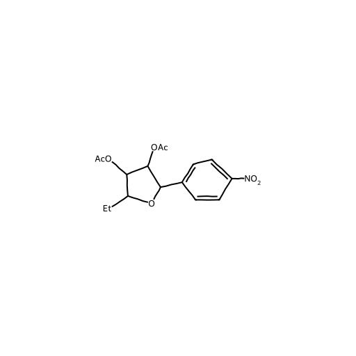 CCC1OC(c2ccc([N+](=O)[O-])cc2)C(OC(C)=O)C1OC(C)=O